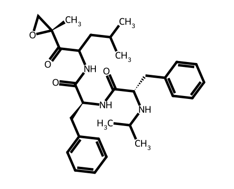 CC(C)CC(NC(=O)[C@H](Cc1ccccc1)NC(=O)[C@H](Cc1ccccc1)NC(C)C)C(=O)[C@@]1(C)CO1